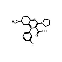 CC1CCc2nc(N3CCCC3)c(C(=O)O)c(-c3cccc(Cl)c3)c2C1